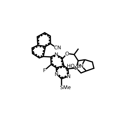 CSc1nc2c3c(nc(-c4cccc5cccc(C#N)c45)c(F)c3n1)OC(C)C1C3CCC(CN21)N3C(=O)O